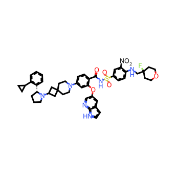 O=C(NS(=O)(=O)c1ccc(NCC2(F)CCOCC2)c([N+](=O)[O-])c1)c1ccc(N2CCC3(CC2)CC(N2CCC[C@@H]2c2ccccc2C2CC2)C3)cc1Oc1cnc2[nH]ccc2c1